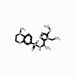 CCn1c(OC)nnc1[C@@H](C)NS(=O)(=O)c1ccc2c(c1)OCCN2C